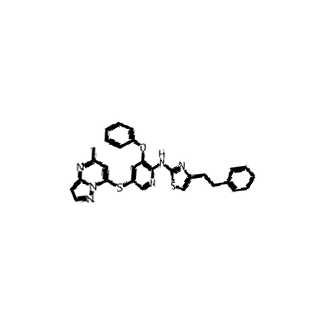 Cc1cc(Sc2cnc(Nc3nc(CCc4ccccc4)cs3)c(Oc3ccccc3)c2)n2nccc2n1